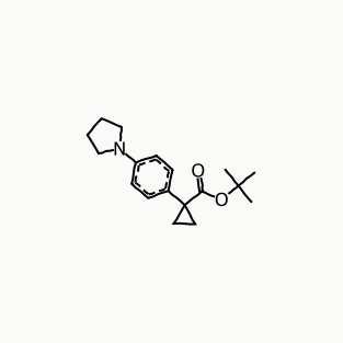 CC(C)(C)OC(=O)C1(c2ccc(N3CCCC3)cc2)CC1